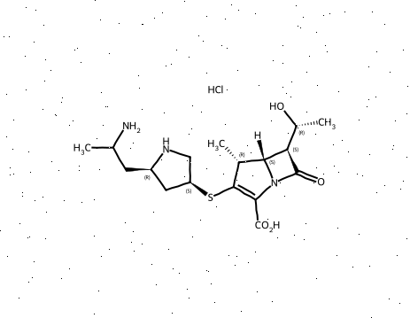 CC(N)C[C@@H]1C[C@H](SC2=C(C(=O)O)N3C(=O)[C@H]([C@@H](C)O)[C@H]3[C@H]2C)CN1.Cl